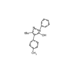 Cc1ccc(-c2c(C(C)(C)C)nn(-c3ccccc3)c2O)cc1